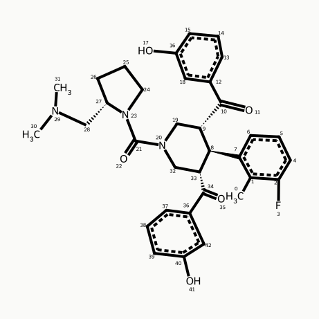 Cc1c(F)cccc1[C@@H]1[C@@H](C(=O)c2cccc(O)c2)CN(C(=O)N2CCC[C@H]2CN(C)C)C[C@H]1C(=O)c1cccc(O)c1